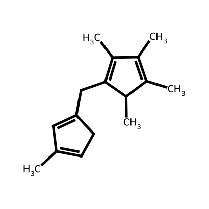 CC1=CCC(CC2=C(C)C(C)=C(C)C2C)=C1